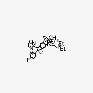 CCN(CC)CCCN(c1cc2oc(-c3ccc(F)cc3)c(C3=NOCCN3)c2cc1C1CC1)S(C)(=O)=O